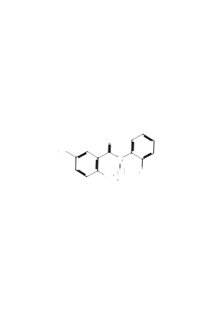 CCCN(C(=O)c1cc(Cl)ccc1C#N)c1ccccc1Cl